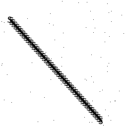 S=S=S=S=S=S=S=S=S=S=S=S=S=S=S=S=S=S=S=S=S=S=S=S=S=S=S=S=S=S=S=S=S=S=S=S=S=S=S=S=S=S=S=S=S=S=S=S=S=S=S=S=S=S=S=S=S=S=S=S=S=S=S=S=S=S=S=S=S=S=S=S=S=S=S=S=S=S=S=S=S=S=S=S=S=S=S=S=S=S=S